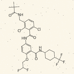 CC(C)(C)C(=O)NCc1ccc(Cl)c(C(=O)Nc2ccc(OCC(F)F)c(C(=O)NC3CCC(C(F)(F)F)CC3)c2)c1Cl